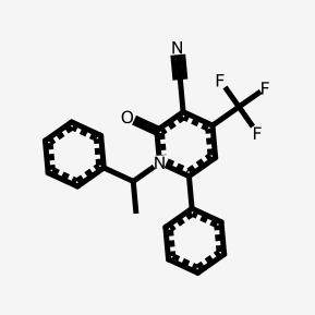 CC(c1ccccc1)n1c(-c2ccccc2)cc(C(F)(F)F)c(C#N)c1=O